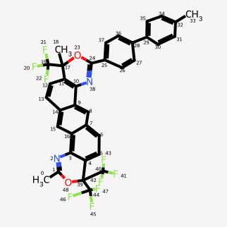 CC1=Nc2c(ccc3cc4c5c(ccc4cc23)C(C)(C(F)(F)F)OC(c2ccc(-c3ccc(C)cc3)cc2)=N5)C(C(F)(F)F)(C(F)(F)F)O1